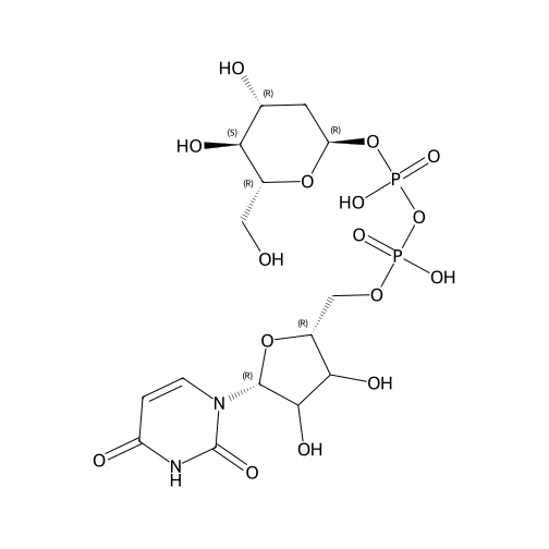 O=c1ccn([C@@H]2O[C@H](COP(=O)(O)OP(=O)(O)O[C@@H]3C[C@@H](O)[C@H](O)[C@@H](CO)O3)C(O)C2O)c(=O)[nH]1